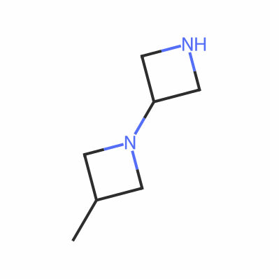 CC1CN(C2CNC2)C1